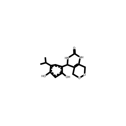 CC(C)c1cc(C2NC(=O)NC3=C2COOC3)c(O)cc1O